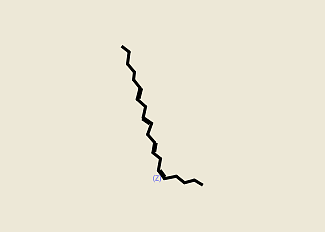 CCCC/C=C\CC=CCC=CCC=CCCCCC